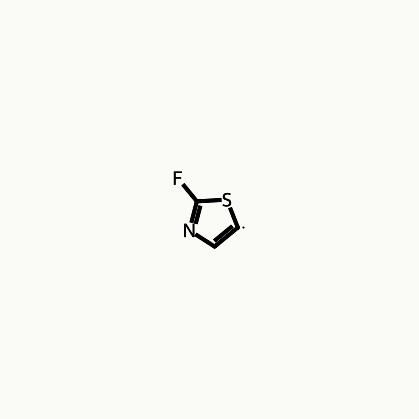 Fc1nc[c]s1